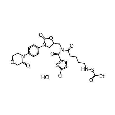 CCC(=O)SNCCCCC(=O)N(C[C@H]1CN(c2ccc(N3CCOCC3=O)cc2)C(=O)O1)C(=O)c1ccc(Cl)s1.Cl